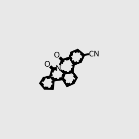 N#Cc1ccc2c(=O)n3c(=O)c4ccccc4c4cccc(c2c1)c43